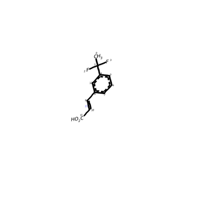 CC(F)(F)c1cccc(/C=C/C(=O)O)c1